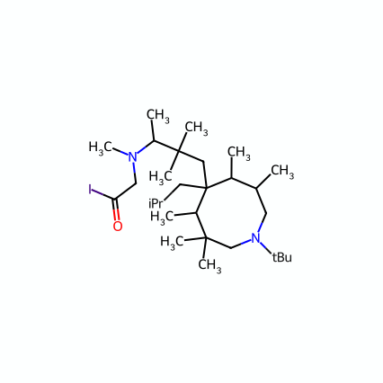 CC(C)CC1(CC(C)(C)C(C)N(C)CC(=O)I)C(C)C(C)CN(C(C)(C)C)CC(C)(C)C1C